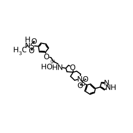 CNS(=O)(=O)c1cccc(OC[C@@H](O)CNC2COC3(CCN(S(=O)(=O)c4cccc(-c5cn[nH]c5)c4)CC3)C2)c1